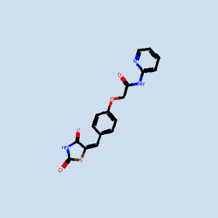 O=C(COc1ccc(C=C2SC(=O)NC2=O)cc1)Nc1ccccn1